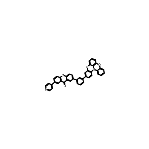 O=c1c2cc(-c3ccncc3)ccc2oc2ccc(-c3cccc(-c4ccc5c(c4)Oc4cccc6c4N5c4ccccc4O6)c3)cc12